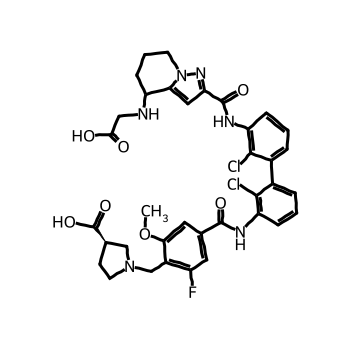 COc1cc(C(=O)Nc2cccc(-c3cccc(NC(=O)c4cc5n(n4)CCCC5NCC(=O)O)c3Cl)c2Cl)cc(F)c1CN1CC[C@@H](C(=O)O)C1